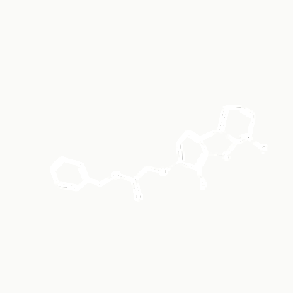 O=C(COc1ccc2c(sc3c(F)cccc32)c1F)OCc1ccccc1